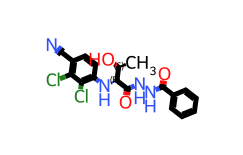 C[C@H](O)[C@@H](Nc1ccc(C#N)c(Cl)c1Cl)C(=O)NNC(=O)c1ccccc1